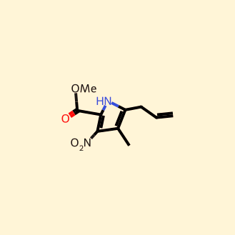 C=CCc1[nH]c(C(=O)OC)c([N+](=O)[O-])c1C